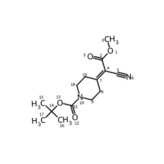 COC(=O)C(C#N)=C1CCN(C(=O)OC(C)(C)C)CC1